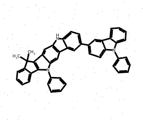 CC1(C)c2ccccc2-c2c1c1cc3[nH]c4ccc(-c5ccc6c(c5)c5ccccc5n6-c5ccccc5)cc4c3cc1n2-c1ccccc1